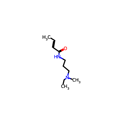 C/C=C/C(=O)NCCCN(C)CC